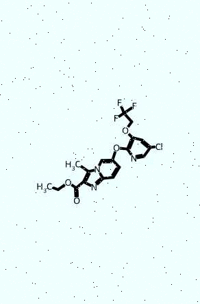 CCOC(=O)c1nc2ccc(Oc3ncc(Cl)cc3OCC(F)(F)F)cn2c1C